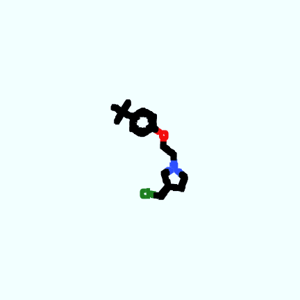 CC(C)(C)c1ccc(OCCN2CCC(CCl)C2)cc1